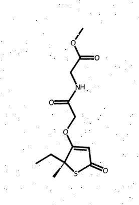 CC[C@@]1(C)SC(=O)C=C1OCC(=O)NCC(=O)OC